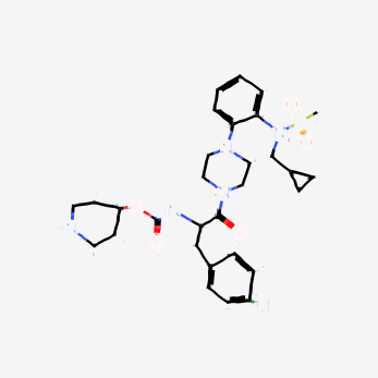 CS(=O)(=O)N(CC1CC1)c1ccccc1N1CCN(C(=O)C(Cc2ccc(Cl)cc2)NC(=O)OC2CCNCC2)CC1